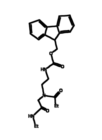 CCNC(=O)CN(CCNC(=O)OCC1c2ccccc2-c2ccccc21)C(=O)CC